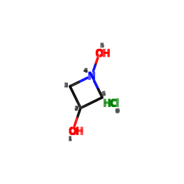 Cl.OC1CN(O)C1